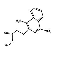 CC(C)(C)OC(=O)CCc1cc(N)c2ccccc2c1N